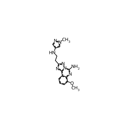 COc1cccc2c1nc(N)n1nc(CCNc3cnn(C)c3)nc21